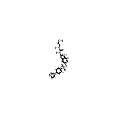 O=C(NCCO)Nc1nc2cc(OS(=O)(=O)c3ccc(-n4ccnc4)cc3)ccc2[nH]1